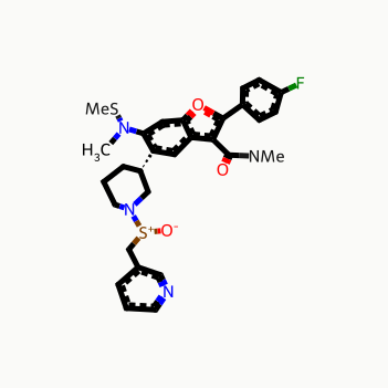 CNC(=O)c1c(-c2ccc(F)cc2)oc2cc(N(C)SC)c([C@H]3CCCN([S+]([O-])Cc4cccnc4)C3)cc12